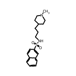 CN1CCC(CCCNS(=O)(=O)c2ccc3ccccc3c2)CC1